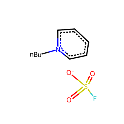 CCCC[n+]1ccccc1.O=S(=O)([O-])F